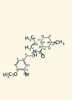 COc1ccc(CCNC(=O)[C@@H]2C[C@H](C)CC[C@H]2C(C)C)cc1Br